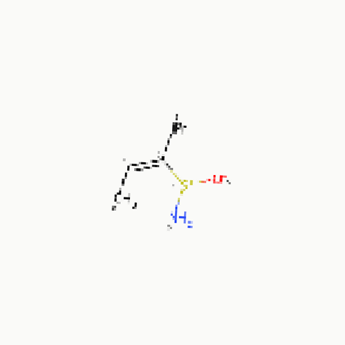 CC=C(C(C)C)[S+](N)[O-]